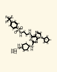 Cl.Cl.N[C@H]1CC[C@H](Nc2nc(NCCNS(=O)(=O)c3ccc(C(F)(F)F)cc3)c3ncn(C4CCCC4)c3n2)CC1